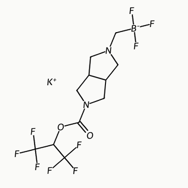 O=C(OC(C(F)(F)F)C(F)(F)F)N1CC2CN(C[B-](F)(F)F)CC2C1.[K+]